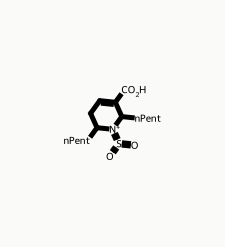 CCCCCC1CC=C(C(=O)O)C(CCCCC)[N+]1=S(=O)=O